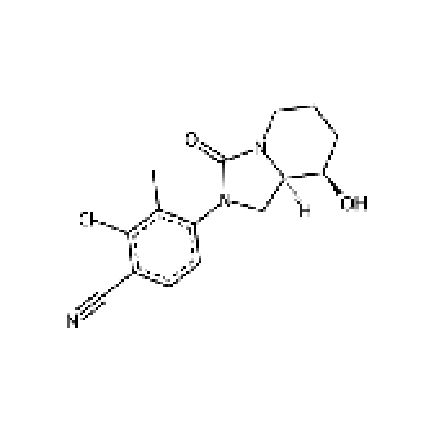 Cc1c(N2C[C@@H]3[C@H](O)CCCN3C2=O)ccc(C#N)c1Cl